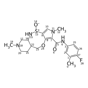 Cc1cc(NC(=O)c2c3c(cn2C)[S+]([O-])NC2CN(C)CCC2CO3)ccc1F